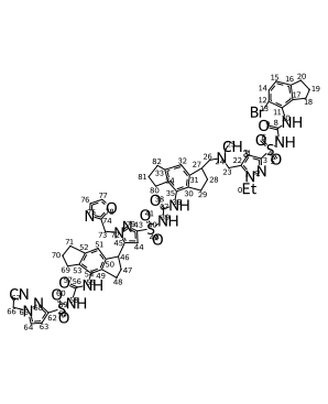 CCn1nc(S(=O)(=O)NC(=O)Nc2c(Br)ccc3c2CCC3)cc1CN(C)CC1CCc2c1cc1c(c2NC(=O)NS(=O)(=O)c2cc(C3CCc4c3cc3c(c4NC(=O)NS(=O)(=O)c4ccn(CC#N)n4)CCC3)n(Cc3ncco3)n2)CCC1